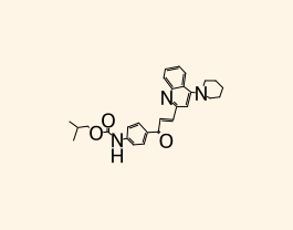 CC(C)COC(=O)Nc1ccc(C(=O)/C=C/c2cc(N3CCCCC3)c3ccccc3n2)cc1